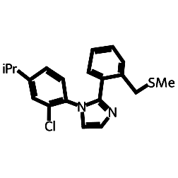 CSCc1ccccc1-c1nccn1-c1ccc(C(C)C)cc1Cl